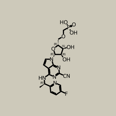 C[C@@H](Nc1nc(C#N)nc2c1ccn2[C@@H]1O[C@H](COCP(=O)(O)O)[C@@H](O)[C@H]1O)c1ccc(F)cn1